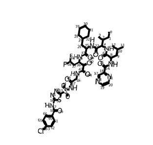 CCC(C)C(NC(=O)C(CC(C)C)NC(=O)c1cnccn1)C(=O)NC(CC1CCCCC1)C(=O)NC(CC(F)F)C(=O)C(=O)NCC(=O)NS(=O)(=O)c1nnc(NC(=O)c2ccc(Cl)cc2)s1